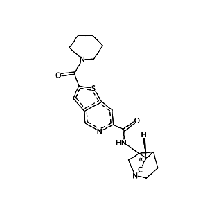 O=C(N[C@H]1CN2CCC1CC2)c1cc2sc(C(=O)N3CCCCC3)cc2cn1